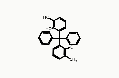 Cc1cccc(C(c2ccccc2)(c2ccccc2)c2cccc(O)c2O)c1O